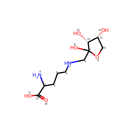 NC(CCCNCC1(O)OC[C@@H](O)[C@H]1O)C(=O)O